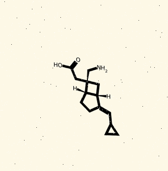 NC[C@@]1(CC(=O)O)C[C@@H]2/C(=C/C3CC3)CC[C@@H]21